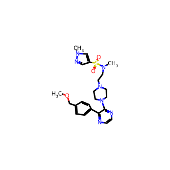 COCc1ccc(-c2nccnc2N2CCN(CCN(C)S(=O)(=O)c3cnn(C)c3)CC2)cc1